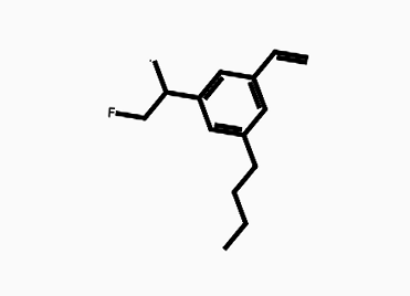 [CH2]C(CF)c1cc(C=C)cc(CCCC)c1